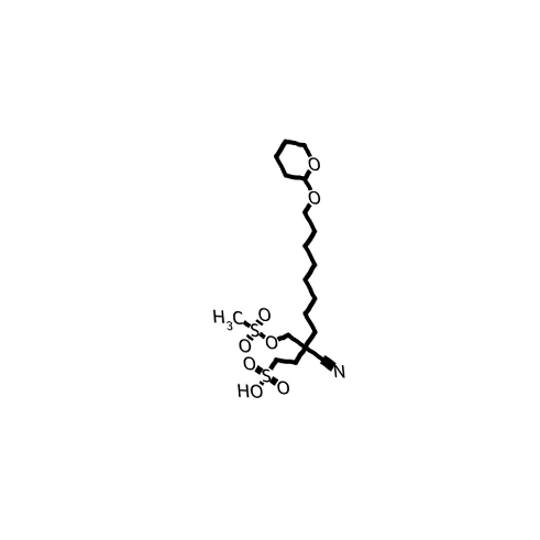 CS(=O)(=O)OCC(C#N)(CCCCCCCCOC1CCCCO1)CCS(=O)(=O)O